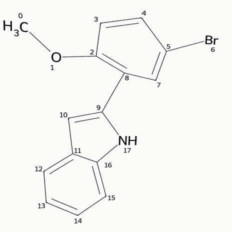 COc1ccc(Br)cc1-c1cc2ccccc2[nH]1